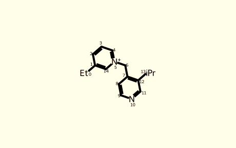 CCc1ccc[n+](Cc2ccncc2C(C)C)c1